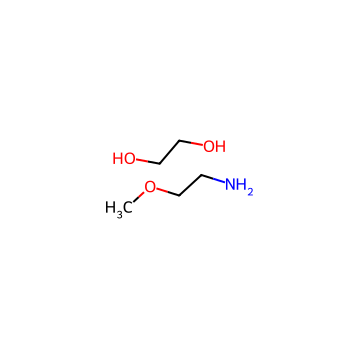 COCCN.OCCO